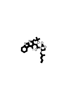 C=C/C=C(\C)C[C@@H]1COC(=O)N1C(=O)[C@H](OC(C)(C)C)c1c(C)nc2sc3c(c2c1I)CCCC3